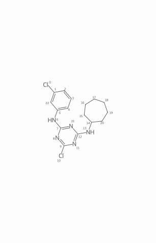 Clc1[c]ccc(Nc2nc(Cl)nc(NC3CCCCCC3)n2)c1